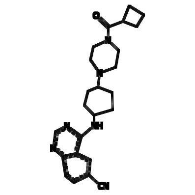 N#Cc1ccc2ncnc(NC3CCC(N4CCN(C(=O)C5CCC5)CC4)CC3)c2c1